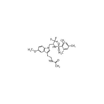 COc1ccc2c(c1)c(CCNC(C)=O)cn2CC(NS(=O)(=O)c1c(C)cc(C)cc1C)C(F)(F)F